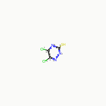 Sc1nnc(Cl)c(Cl)n1